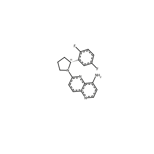 Nc1ccnc2ccc(N3CCC[C@@H]3c3cc(F)ccc3F)nc12